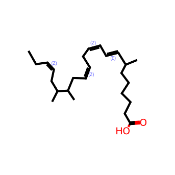 CC/C=C\CC(C)C(C)C/C=C\C/C=C\C=C\C(C)CCCCCC(=O)O